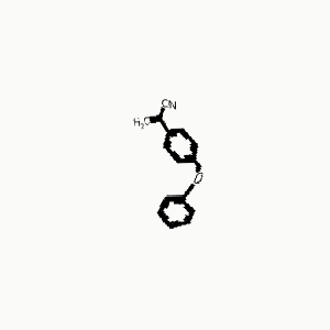 C=C(C#N)c1ccc(Oc2ccccc2)cc1